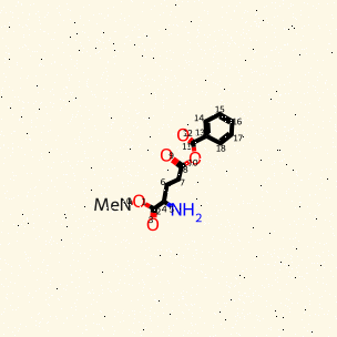 CNOC(=O)C(N)CCC(=O)OC(=O)c1ccccc1